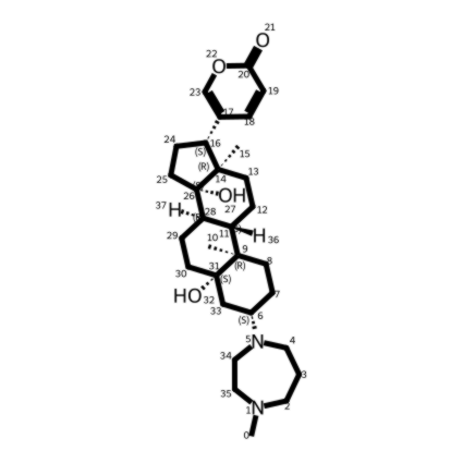 CN1CCCN([C@H]2CC[C@]3(C)[C@H]4CC[C@]5(C)[C@@H](c6ccc(=O)oc6)CC[C@]5(O)[C@@H]4CC[C@]3(O)C2)CC1